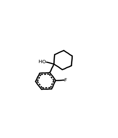 OC1(c2ccccc2F)CCCCC1